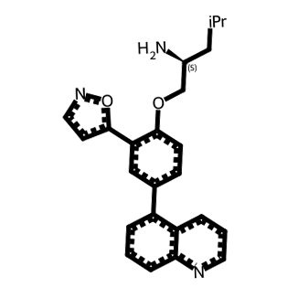 CC(C)C[C@H](N)COc1ccc(-c2cccc3ncccc23)cc1-c1ccno1